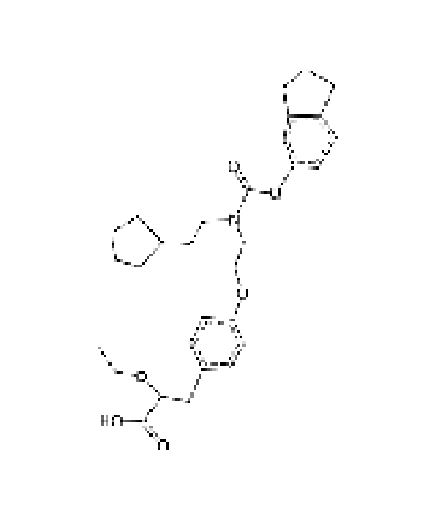 CCOC(Cc1ccc(OCCN(CCC2CCCC2)C(=O)Oc2ccc3c(c2)CCC3)cc1)C(=O)O